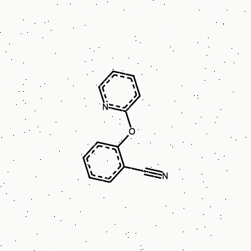 N#Cc1ccccc1Oc1cc[c]cn1